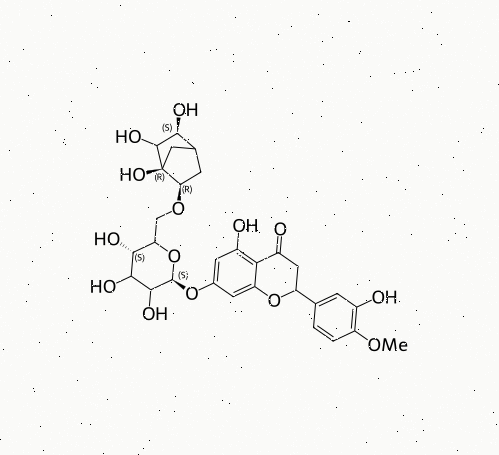 COc1ccc(C2CC(=O)c3c(O)cc(O[C@@H]4OC(CO[C@@H]5CC6C[C@@]5(O)C(O)[C@H]6O)[C@@H](O)C(O)C4O)cc3O2)cc1O